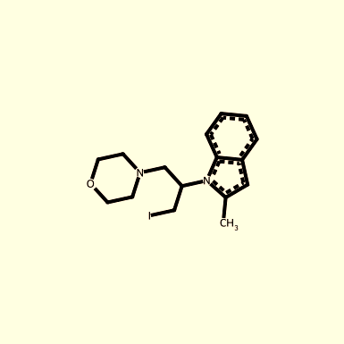 Cc1cc2ccccc2n1C(CI)CN1CCOCC1